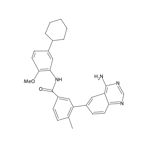 COc1ccc(C2CCCCC2)cc1NC(=O)c1ccc(C)c(-c2ccc3ncnc(N)c3c2)c1